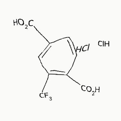 Cl.Cl.O=C(O)c1ccc(C(=O)O)c(C(F)(F)F)c1